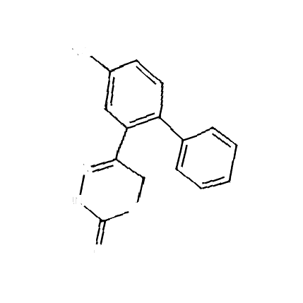 N#Cc1ccc(-c2ccccc2)c(C2=NNC(=O)OC2)c1